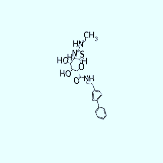 CCNC1=N[C@@H]2[C@@H](O)[C@H](O)[C@@H](C(=O)NCCc3ccc(-c4ccccc4)cc3)O[C@@H]2S1